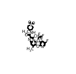 Cc1cc2nc(C(=O)NC3(C)CCS(=O)(=O)CC3)c(C)n2nc1Oc1ncc(F)cc1OCC(F)(F)F